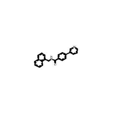 O=C(NCc1cccc2ccccc12)c1ccc(-c2cccnc2)cc1